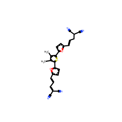 Cc1c(-c2ccc(/C=C/C=C(C#N)C#N)o2)sc(-c2ccc(/C=C/CC(C#N)C#N)o2)c1C